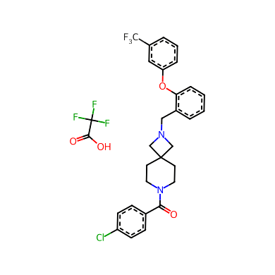 O=C(O)C(F)(F)F.O=C(c1ccc(Cl)cc1)N1CCC2(CC1)CN(Cc1ccccc1Oc1cccc(C(F)(F)F)c1)C2